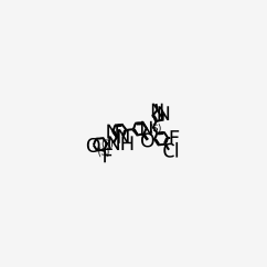 Cn1cc([C@H](c2ccc(Cl)c(F)c2)n2ccc(-c3ccnc(N[C@@H]4CCOC[C@H]4F)n3)cc2=O)cn1